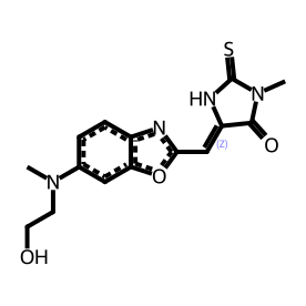 CN1C(=O)/C(=C/c2nc3ccc(N(C)CCO)cc3o2)NC1=S